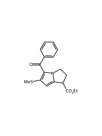 CCOC(=O)C1CCn2c1cc(SC)c2C(=O)c1ccccc1